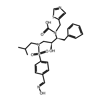 CC(C)CN(C[C@H](O)[C@H](Cc1ccccc1)N(Cc1cncs1)C(=O)O)S(=O)(=O)c1ccc(C=NO)cc1